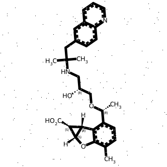 Cc1ccc([C@@H](C)OC[C@H](O)CNC(C)(C)Cc2ccc3ncccc3c2)c2c1O[C@@H]1[C@@H](C(=O)O)[C@H]21